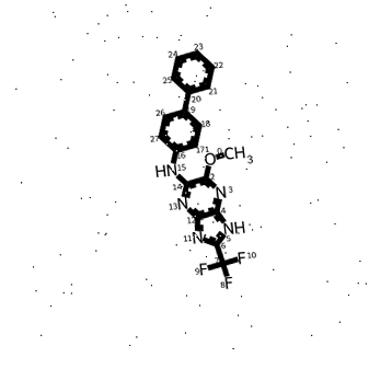 COc1nc2[nH]c(C(F)(F)F)nc2nc1Nc1ccc(-c2ccccc2)cc1